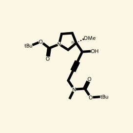 CO[C@@]1(C(O)C#CCN(C)C(=O)OC(C)(C)C)CCN(C(=O)OC(C)(C)C)C1